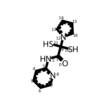 O=C(Nc1ccccn1)C(S)(S)n1cccc1